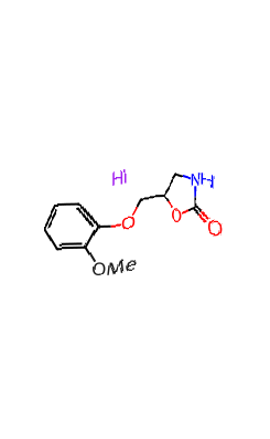 COc1ccccc1OCC1CNC(=O)O1.I